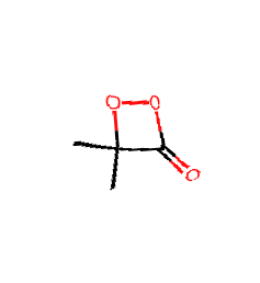 CC1(C)OOC1=O